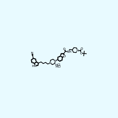 CC(C)(C)OC(=O)N1CCC(CNC(=O)c2cc3cc(N4CCN(CCCCc5c[nH]c6ccc(C#N)cc56)CC4)ccc3o2)CC1.Cl.Cl